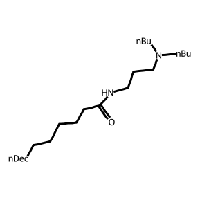 CCCCCCCCCCCCCCCC(=O)NCCCN(CCCC)CCCC